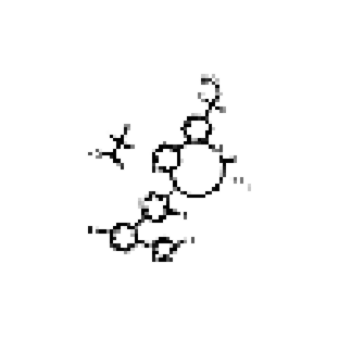 C[C@@H]1CCC[C@H](n2cnc(-c3cc(Cl)ccc3-n3cc(Cl)nn3)cc2=O)c2cc(ccn2)-c2ccc(C(F)(F)CO)cc2NC1=O.O=C(O)C(F)(F)F